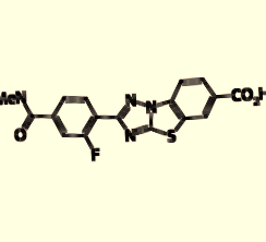 CNC(=O)c1ccc(-c2nc3sc4cc(C(=O)O)ccc4n3n2)c(F)c1